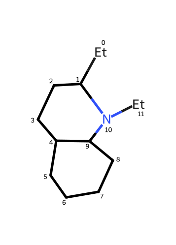 CCC1CCC2CCCCC2N1CC